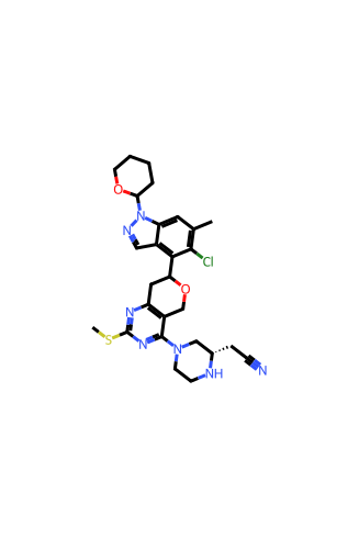 CSc1nc2c(c(N3CCN[C@@H](CC#N)C3)n1)COC(c1c(Cl)c(C)cc3c1cnn3C1CCCCO1)C2